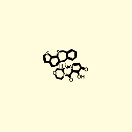 O=C1c2c(O)c(=O)ccn2N([C@H]2c3ccccc3CSc3c2ccc2ccsc32)[C@@H]2COCCN12